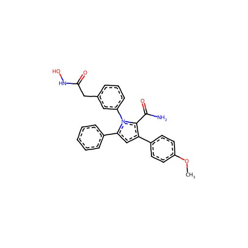 COc1ccc(-c2cc(-c3ccccc3)n(-c3cccc(CC(=O)NO)c3)c2C(N)=O)cc1